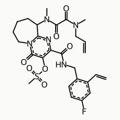 C=CCN(C)C(=O)C(=O)N(C)C1CCCCn2c1nc(C(=O)NCc1ccc(F)cc1C=C)c(OS(C)(=O)=O)c2=O